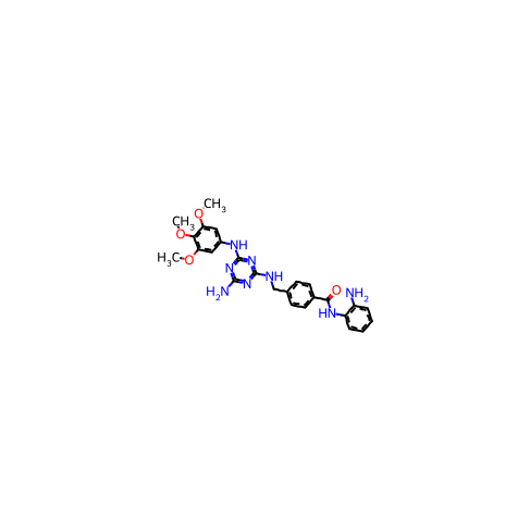 COc1cc(Nc2nc(N)nc(NCc3ccc(C(=O)Nc4ccccc4N)cc3)n2)cc(OC)c1OC